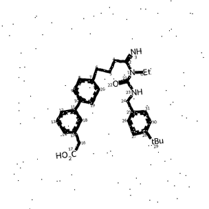 CCN(C(=N)CCCc1ccc(-c2cccc(CC(=O)O)c2)cc1)C(=O)NCc1ccc(C(C)(C)C)cc1